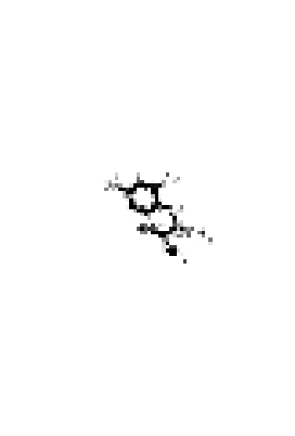 C[C@H](Oc1ccc(Br)cc1F)C(=N)N